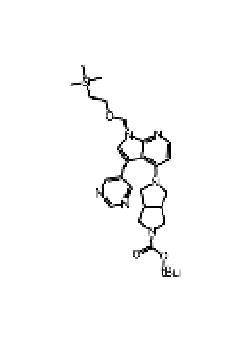 CC(C)(C)OC(=O)N1CC2CN(c3ccnc4c3c(-c3cncnc3)cn4COCC[Si](C)(C)C)CC2C1